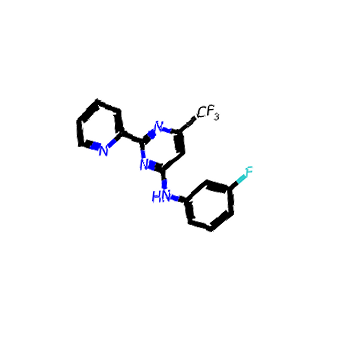 Fc1cccc(Nc2cc(C(F)(F)F)nc(-c3ccccn3)n2)c1